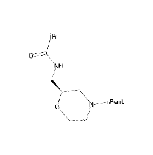 CCCCCN1CCO[C@@H](CNC(=O)C(C)C)C1